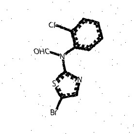 O=CN(c1ncc(Br)s1)c1ccccc1Cl